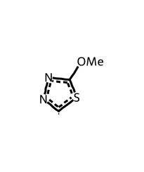 COc1nn[c]s1